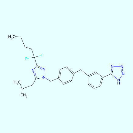 CCCCC(F)(F)c1nc(CC(C)C)n(Cc2ccc(Cc3cccc(-c4nnn[nH]4)c3)cc2)n1